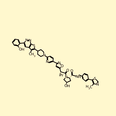 Cc1ncsc1-c1ccc(CNC(=O)[C@@H]2C[C@@H](O)CN2C(=O)[C@@H](c2cc(-c3ccc(N4CCC(c5sc6nnc(-c7ccccc7O)cc6c5C)CC4)nc3)no2)C(C)C)cc1